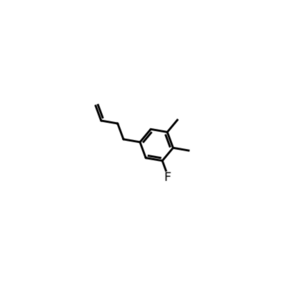 C=CCCc1cc(C)c(C)c(F)c1